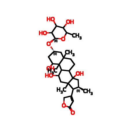 CC1O[C@@H](O[C@H]2CC(O)C3(C)C4C(O)CC5(C)C(C6=CC(=O)OC6)[C@H](C)CC5(O)C4CCC3(C)C2)C(O)C(O)C1O